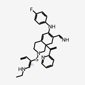 C=C/C(=C\NCC)SN1CCC2=CC(Nc3ccc(F)cc3)=C(C=N)CC2(C(=C)c2ccccn2)C1